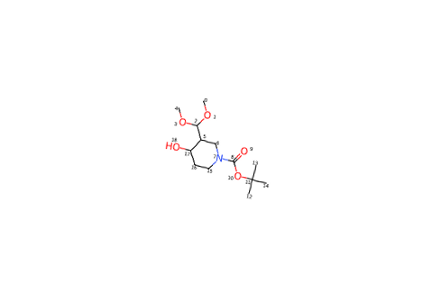 COC(OC)C1CN(C(=O)OC(C)(C)C)CCC1O